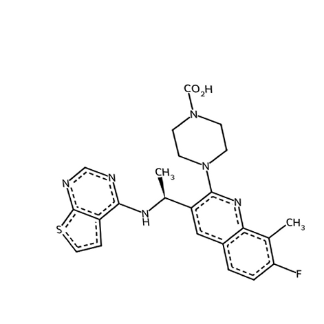 Cc1c(F)ccc2cc([C@H](C)Nc3ncnc4sccc34)c(N3CCN(C(=O)O)CC3)nc12